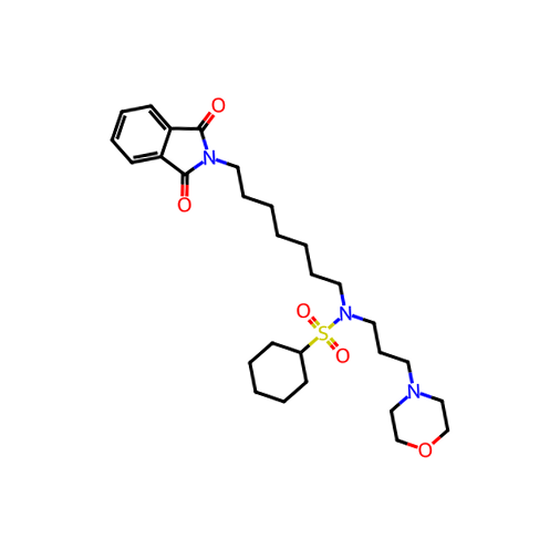 O=C1c2ccccc2C(=O)N1CCCCCCCN(CCCN1CCOCC1)S(=O)(=O)C1CCCCC1